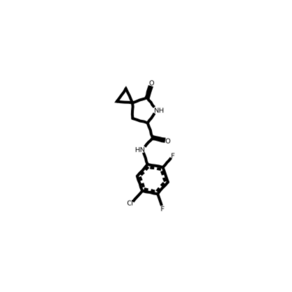 O=C(Nc1cc(Cl)c(F)cc1F)C1CC2(CC2)C(=O)N1